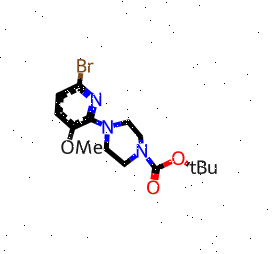 COc1ccc(Br)nc1N1CCN(C(=O)OC(C)(C)C)CC1